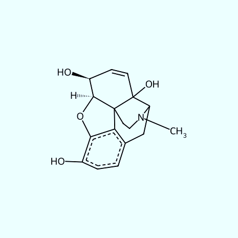 CN1CCC23c4c5ccc(O)c4O[C@H]2[C@@H](O)C=CC3(O)C1C5